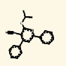 CC(C)Oc1nc(-c2ccccc2)cc(-c2ccccc2)c1C#N